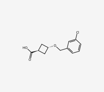 O=C(O)[C@H]1C[C@H](OCc2cccc(Cl)c2)C1